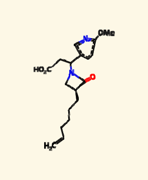 C=CCCCC[C@H]1CN(C(CC(=O)O)c2ccc(OC)nc2)C1=O